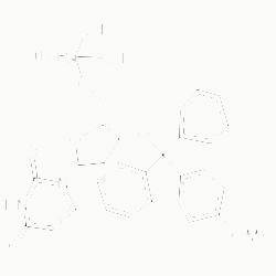 COc1ccc(C(O[C@@H]2C[C@H](n3ccc(=O)[nH]c3=O)O[C@@H]2CO[Si](C)(C)C(C)(C)C)(c2ccccc2)c2ccccc2)cc1